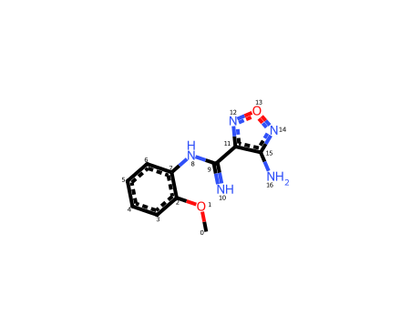 COc1ccccc1NC(=N)c1nonc1N